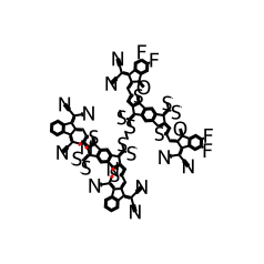 CSC(SC)=C1c2cc3c(cc2-c2sc(C=C4C(=C(C#N)C#N)c5ccccc5C4=C(C#N)C#N)cc21)/C(=C(/SC)SCCS/C(SC)=C1\c2cc4c(cc2-c2sc(/C=C5\C(=O)c6cc(F)c(F)cc6C5=C(C#N)C#N)cc21)C(=C(SC)SC)c1cc(/C=C2\C(=O)c5cc(F)c(F)cc5C2=C(C#N)C#N)sc1-4)c1cc(C=C2C(=C(C#N)C#N)c4ccccc4C2=C(C#N)C#N)sc1-3